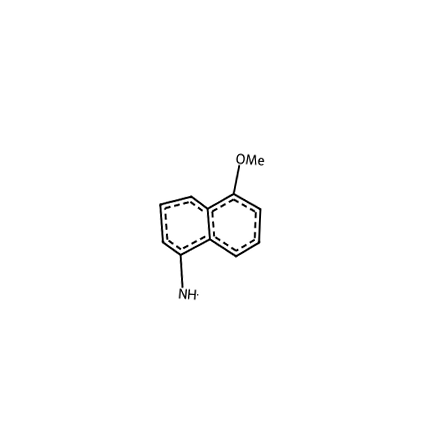 COc1cccc2c([NH])cccc12